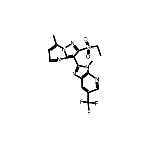 CCS(=O)(=O)c1nn2c(C)ccnc2c1-c1nc2cc(C(F)(F)F)cnc2n1C